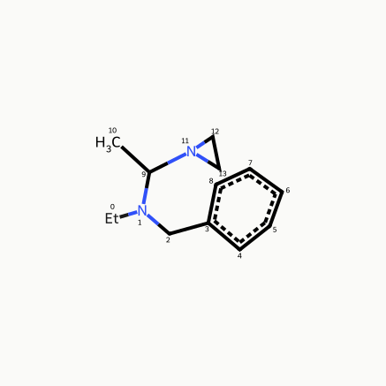 CCN(Cc1ccccc1)C(C)N1CC1